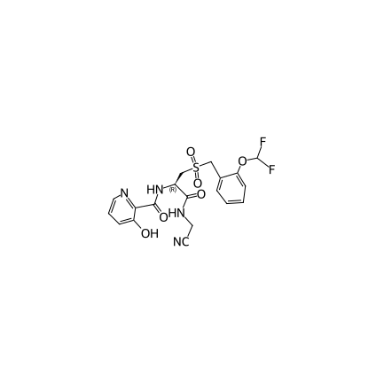 N#CCNC(=O)[C@H](CS(=O)(=O)Cc1ccccc1OC(F)F)NC(=O)c1ncccc1O